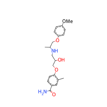 COc1ccc(OCC(C)NCC(O)COc2ccc(C(N)=O)cc2C)cc1